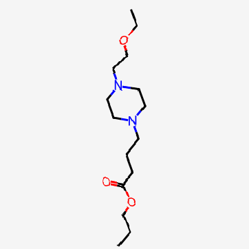 CCCOC(=O)CCCN1CCN(CCOCC)CC1